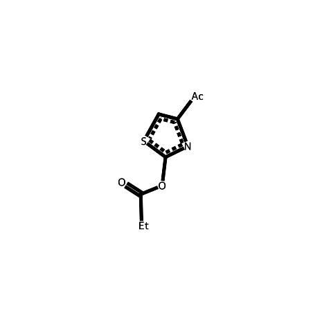 CCC(=O)Oc1nc(C(C)=O)cs1